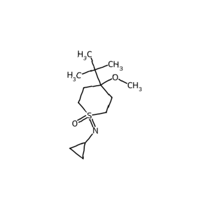 COC1(C(C)(C)C)CCS(=O)(=NC2CC2)CC1